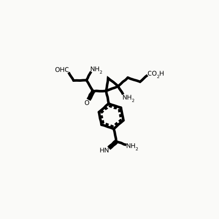 N=C(N)c1ccc(C2(C(=O)C(N)CC=O)CC2(N)CCC(=O)O)cc1